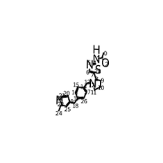 CC(=O)Nc1ncc(C2CCCN2Cc2ccc(Cc3ccnc(C)c3)cc2)s1